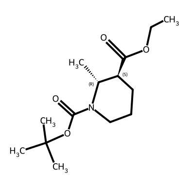 CCOC(=O)[C@H]1CCCN(C(=O)OC(C)(C)C)[C@@H]1C